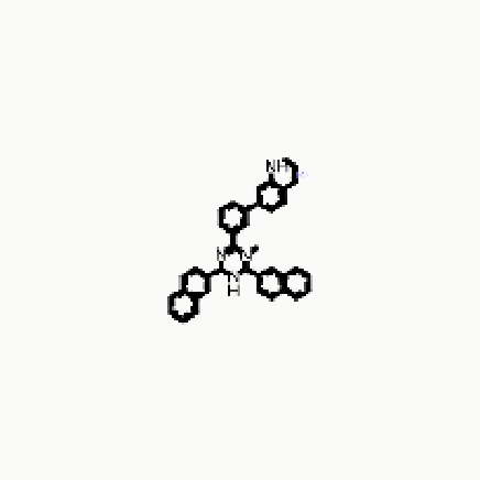 C/C=C\c1ccc(-c2cccc(C3=NC(c4ccc5ccccc5c4)NC(c4ccc5ccccc5c4)N3C)c2)cc1N